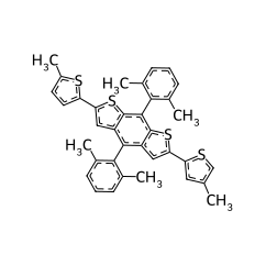 Cc1csc(-c2cc3c(-c4c(C)cccc4C)c4cc(-c5ccc(C)s5)sc4c(-c4c(C)cccc4C)c3s2)c1